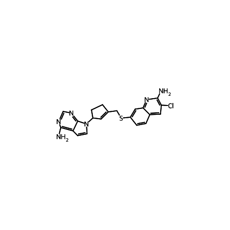 Nc1nc2cc(SCC3=CC(n4ccc5c(N)ncnc54)CC3)ccc2cc1Cl